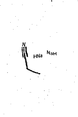 CCC#N.[NaH].[NaH]